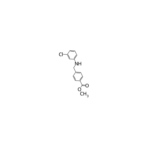 COC(=O)c1ccc(CNc2cccc(Cl)c2)cc1